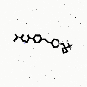 C=C(C)C(=C)/C=C\C(=C)c1ccc(CCC2CCN(CC3(C(F)(F)F)CCC3)CC2)cc1